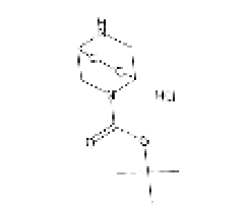 CC(C)(C)OC(=O)N1CC2CCC1CN2.Cl